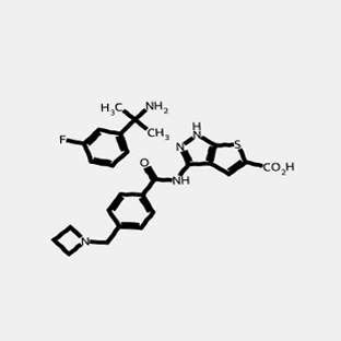 CC(C)(N)c1cccc(F)c1.O=C(Nc1n[nH]c2sc(C(=O)O)cc12)c1ccc(CN2CCC2)cc1